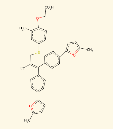 CCC(CSc1ccc(OCC(=O)O)c(C)c1)=C(c1ccc(-c2ccc(C)o2)cc1)c1ccc(-c2ccc(C)o2)cc1